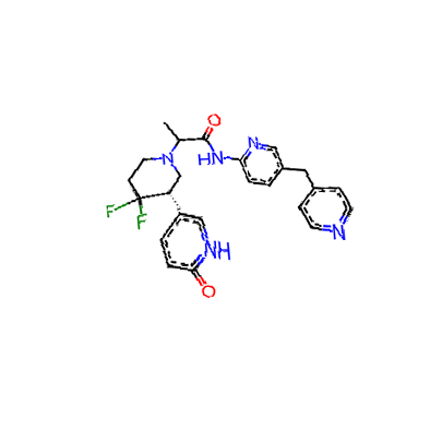 CC(C(=O)Nc1ccc(Cc2ccncc2)cn1)N1CCC(F)(F)[C@@H](c2ccc(=O)[nH]c2)C1